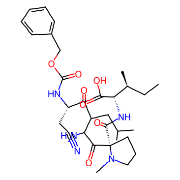 CC[C@H](C)[C@H](NC(=O)[C@]1(C(=O)C(N)C(CC(C)C)C(=O)[C@H](CC#N)NC(=O)OCc2ccccc2)CCCN1C)C(=O)O